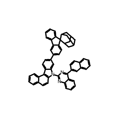 c1ccc2c(c1)-c1cc(-c3ccc4c5c6ccccc6ccc5n(-c5nc(-c6ccc7ccccc7c6)c6ccccc6n5)c4c3)ccc1C21C2CC3CC(C2)CC1C3